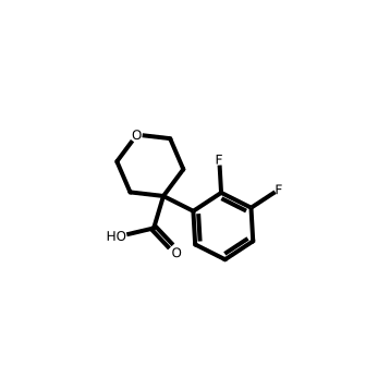 O=C(O)C1(c2cccc(F)c2F)CCOCC1